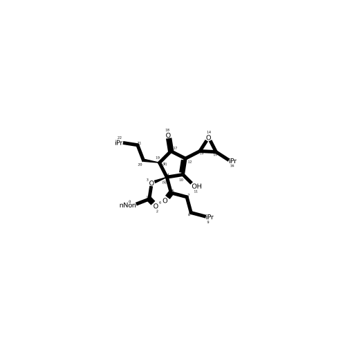 CCCCCCCCCC(=O)O[C@]1(C(=O)CCC(C)C)C(O)=C(C2OC2C(C)C)C(=O)[C@@H]1CCC(C)C